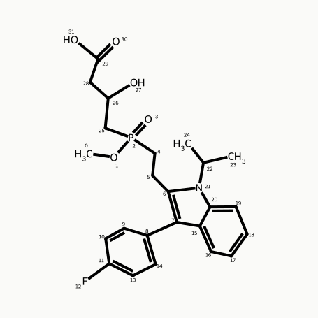 COP(=O)(CCc1c(-c2ccc(F)cc2)c2ccccc2n1C(C)C)CC(O)CC(=O)O